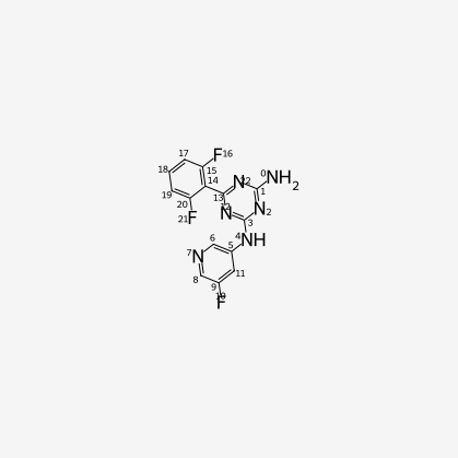 Nc1nc(Nc2cncc(F)c2)nc(-c2c(F)cccc2F)n1